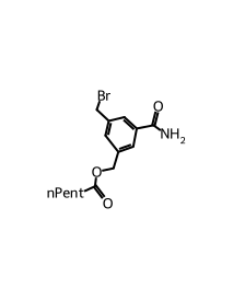 CCCCCC(=O)OCc1cc(CBr)cc(C(N)=O)c1